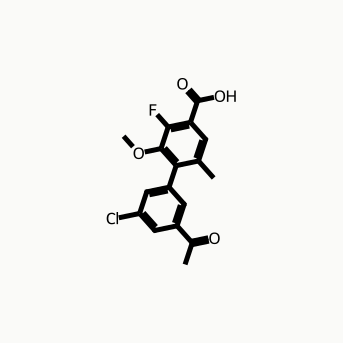 COc1c(F)c(C(=O)O)cc(C)c1-c1cc(Cl)cc(C(C)=O)c1